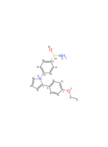 CCOc1ccc(-c2cccn2-c2ccc([S+](N)[O-])cc2)cc1